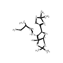 CCC(C)BO[C@@H]1[C@@H]([C@H]2COC(C)(C)O2)OC2OC(C)(C)O[C@@H]21